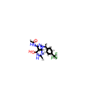 CC(=O)Nc1nn([C@@H](C)c2ccc(C(F)(F)F)cc2)c2c1C(O)NC(C)=N2